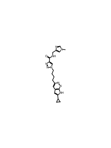 Cn1cnc(CNC(=O)c2cn(CCCCc3cc4cc(C5CC5)[nH]c4nn3)nn2)c1